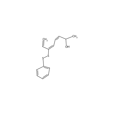 C=C/C(=C\C=C/C(C)O)SSc1ccccc1